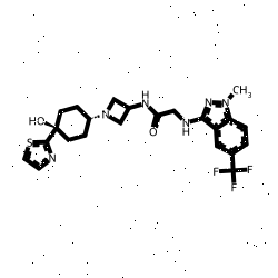 Cn1nc(NCC(=O)NC2CN([C@H]3CC[C@@](O)(c4nccs4)CC3)C2)c2cc(C(F)(F)F)ccc21